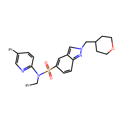 CC(C)CN(c1ccc(C(C)C)cn1)S(=O)(=O)c1ccc2nn(CC3CCOCC3)cc2c1